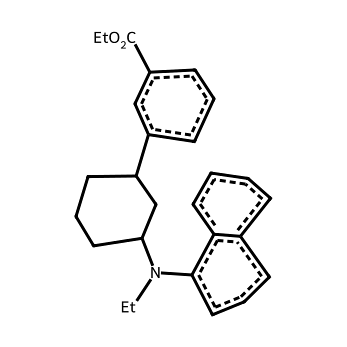 CCOC(=O)c1cccc(C2CCCC(N(CC)c3cccc4ccccc34)C2)c1